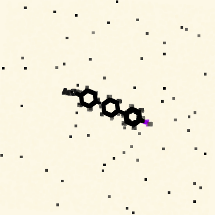 CC(=O)OC1CCC([C@H]2CC[C@H](c3ccc(I)cc3)CC2)CC1